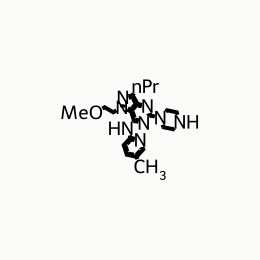 CCCc1nn(CCOC)c2c(Nc3ccc(C)cn3)nc(N3CCNCC3)nc12